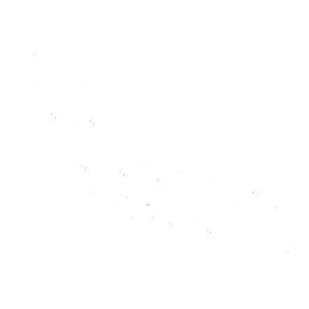 CN(C(=O)Nc1cc(C(F)(F)F)cn(C)c1=O)[C@@H]1C[C@@H]2C[C@H]1CN2c1cnc(NC(=O)C2CC2)cn1